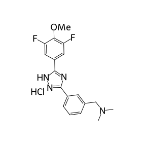 COc1c(F)cc(-c2nc(-c3cccc(CN(C)C)c3)n[nH]2)cc1F.Cl